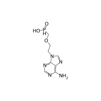 Nc1ncnc2c1ncn2CCOC[PH](=O)O